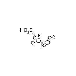 O=C(O)CCCOc1c(F)cc(-n2ncc3ccc(OC4CCC4)cc32)cc1Cl